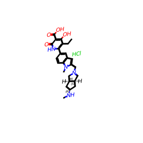 CCc1c(-c2ccc3c(c2)cc(CN2C[C@H]4C[C@@H](NC)C[C@H]4C2)n3C)[nH]c(=O)c(C(=O)O)c1O.Cl